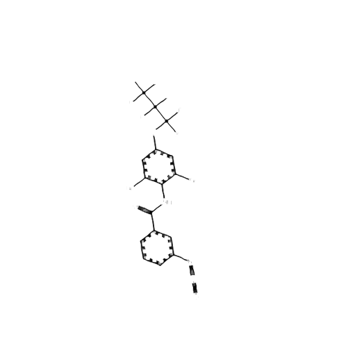 O=C=Nc1cccc(C(=O)Nc2c(Br)cc(SC(F)(F)C(F)(F)C(F)(F)F)cc2Br)c1